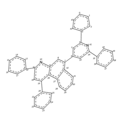 c1ccc(-c2cc(-c3cc4nc(-c5ccccc5)cc(-c5ccccc5)c4c4ccccc34)cc(-c3ccccc3)n2)cc1